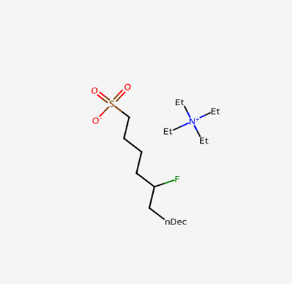 CCCCCCCCCCCC(F)CCCCS(=O)(=O)[O-].CC[N+](CC)(CC)CC